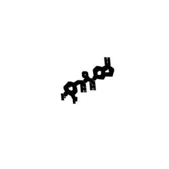 O=C(NCc1ccc(F)c(F)c1)Nc1ccc2[nH]ccc2c1